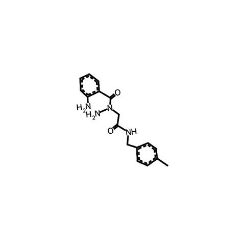 Cc1ccc(CNC(=O)CN(N)C(=O)c2ccccc2N)cc1